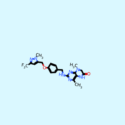 Cc1nc(NCc2ccc(OCc3cc(C(F)(F)F)nn3C)cc2)nc2c1NC(=O)CN2C